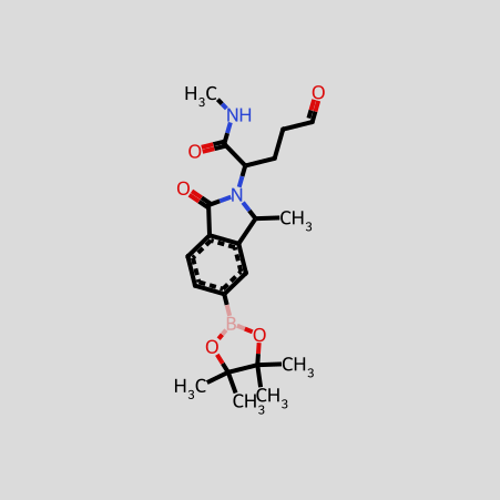 CNC(=O)C(CCC=O)N1C(=O)c2ccc(B3OC(C)(C)C(C)(C)O3)cc2C1C